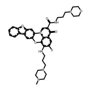 CN1CCN(CCCNc2c(F)cc3c(=O)c(C(=O)NCCCN4CCOCC4)cn4c3c2Oc2cc3c(cc2-4)oc2ccccc23)CC1